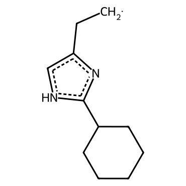 [CH2]Cc1c[nH]c(C2CCCCC2)n1